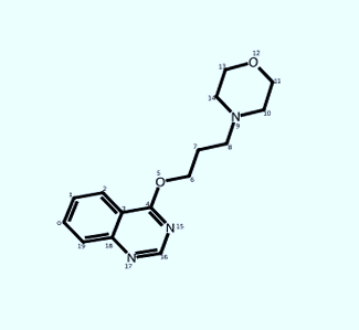 c1ccc2c(OCCCN3CCOCC3)ncnc2c1